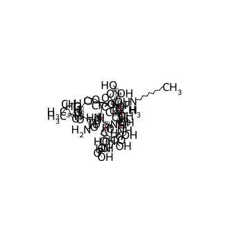 CCCCCCCCCCNCCN[C@@]1(C)CC(OC2C(Oc3c4cc5cc3Oc3ccc(cc3Cl)[C@@H](O)[C@@H](NC(=O)[C@H](CC)CC(C)C)C(=O)C[C@@H](CC(N)=O)C(=O)N[C@H]5C(=O)C[C@H]3C(=O)N[C@H](C(=O)N[C@H](C(=O)O)c5cc(O)c(CNCP(=O)(O)O)c(O)c5-c5cc3ccc5O)[C@H](O)c3ccc(c(Cl)c3)O4)O[C@H](CO)[C@@H](O)[C@@H]2O)O[C@@H](C)[C@@H]1O